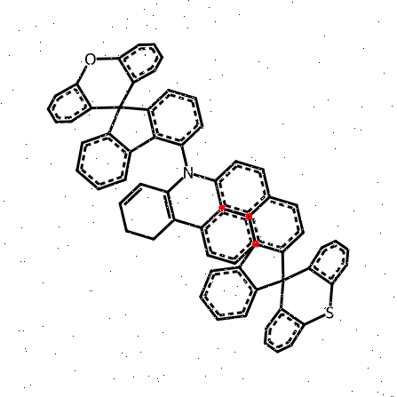 C1=CC(N(c2ccc3ccc4c(c3c2)-c2ccccc2C42c3ccccc3Sc3ccccc32)c2cccc3c2-c2ccccc2C32c3ccccc3Oc3ccccc32)=C(c2ccccc2)CC1